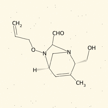 C=CCON1C(C=O)N2C[C@H]1C=C(C)[C@H]2CO